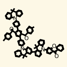 Cc1ccc(C(=O)c2cc(-c3ccc(N4c5ccccc5C(C)(C)c5cc(-c6cccc7c6C(C)(C)c6ccccc6N7c6ccc7c(=O)c8ccccc8oc7c6)ccc54)cc3)c(C(=O)c3ccc(C)cc3)cc2-c2ccc(N3c4ccccc4C(C)(C)c4ccccc43)cc2)cc1